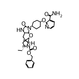 CC[C@@H]1C[C@]2(CC3NC(=O)N([C@H]4CC[C@H](Oc5ncccc5C(N)=O)CC4)C3=O)C[C@H]2N1C(=O)OCc1ccccc1